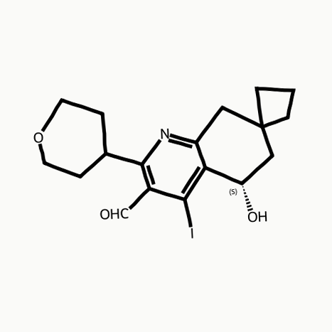 O=Cc1c(C2CCOCC2)nc2c(c1I)[C@@H](O)CC1(CCC1)C2